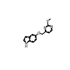 CSc1nccc(COc2ccc3[nH]ccc3c2)n1